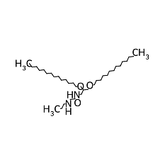 CCCCCCCCCCCCCCOCC(CNC(=O)CNCCC)OCCCCCCCCCCCCCC